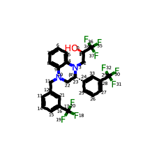 O[C@H](CN1c2ccccc2N(Cc2cccc(C(F)(F)F)c2)C[C@H]1c1cccc(C(F)(F)F)c1)C(F)(F)F